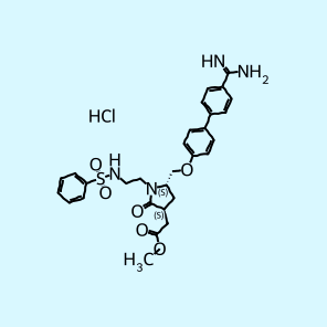 COC(=O)C[C@@H]1C[C@@H](COc2ccc(-c3ccc(C(=N)N)cc3)cc2)N(CCNS(=O)(=O)c2ccccc2)C1=O.Cl